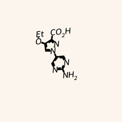 CCOc1cn(-c2cnc(N)nc2)nc1C(=O)O